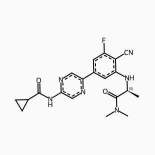 C[C@H](Nc1cc(-c2cnc(NC(=O)C3CC3)cn2)cc(F)c1C#N)C(=O)N(C)C